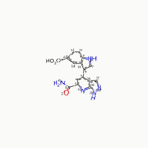 NC(=O)c1cc(-c2c[nH]c3ccc(C(=O)O)cc23)c2cn[nH]c2n1